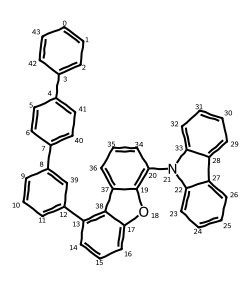 c1ccc(-c2ccc(-c3cccc(-c4cccc5oc6c(-n7c8ccccc8c8ccccc87)cccc6c45)c3)cc2)cc1